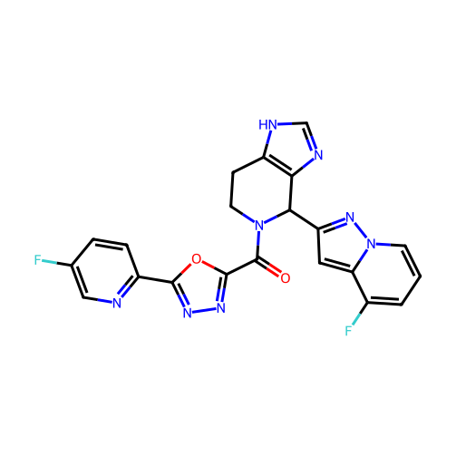 O=C(c1nnc(-c2ccc(F)cn2)o1)N1CCc2[nH]cnc2C1c1cc2c(F)cccn2n1